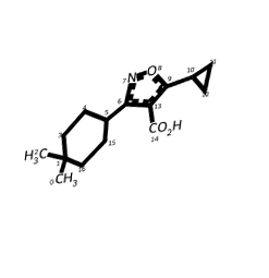 CC1(C)CCC(c2noc(C3CC3)c2C(=O)O)CC1